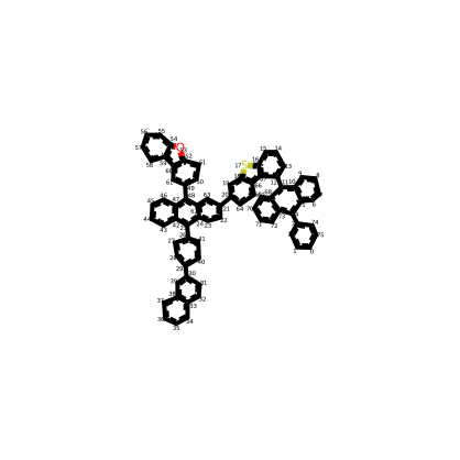 c1ccc(-c2c3ccccc3c(-c3cccc4sc5cc(-c6ccc7c(-c8ccc(-c9ccc%10ccccc%10c9)cc8)c8ccccc8c(-c8ccc9oc%10ccccc%10c9c8)c7c6)ccc5c34)c3ccccc23)cc1